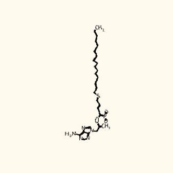 CCCCCCCCCCCCCCCCSCCCC(OC(C)Cn1cnc2c(N)ncnc21)P(=O)=O